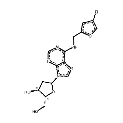 OC[C@H]1OC(n2cnc3c(NCc4cc(Cl)co4)ncnc32)C[C@@H]1O